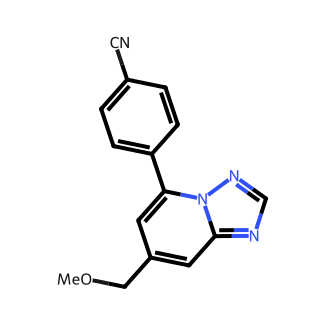 COCc1cc(-c2ccc(C#N)cc2)n2ncnc2c1